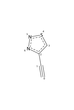 [C]#Cc1csnn1